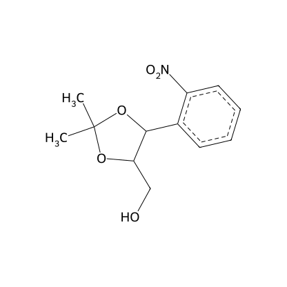 CC1(C)OC(CO)C(c2ccccc2[N+](=O)[O-])O1